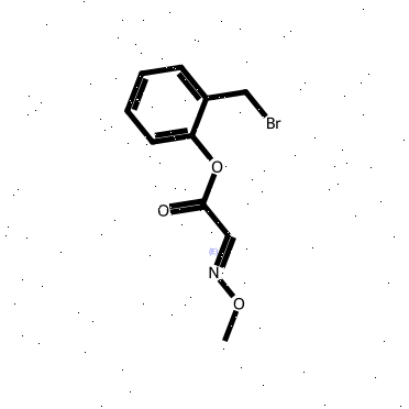 CO/N=C/C(=O)Oc1ccccc1CBr